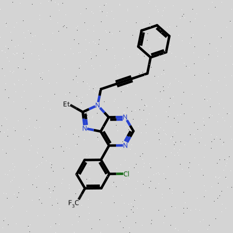 CCc1nc2c(-c3ccc(C(F)(F)F)cc3Cl)ncnc2n1CC#CCc1ccccc1